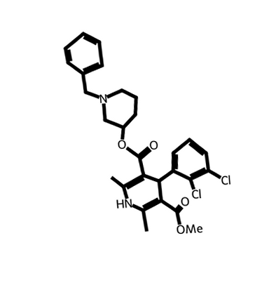 COC(=O)C1=C(C)NC(C)=C(C(=O)OC2CCCN(Cc3ccccc3)C2)C1c1cccc(Cl)c1Cl